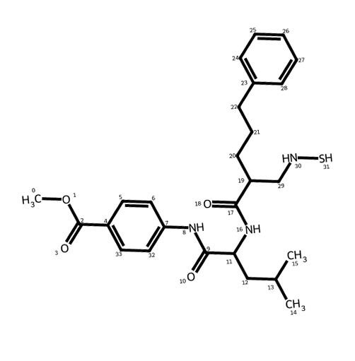 COC(=O)c1ccc(NC(=O)C(CC(C)C)NC(=O)C(CCCc2ccccc2)CNS)cc1